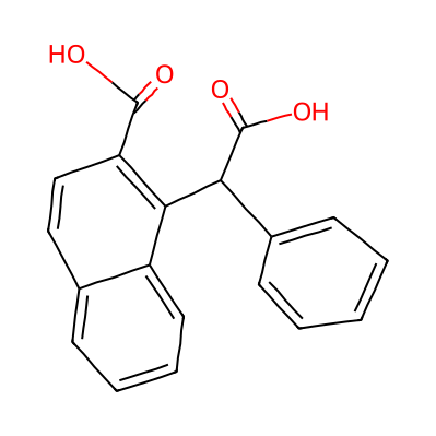 O=C(O)c1ccc2ccccc2c1C(C(=O)O)c1ccccc1